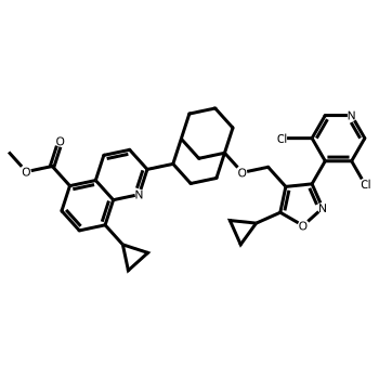 COC(=O)c1ccc(C2CC2)c2nc(C3CCC4(OCc5c(-c6c(Cl)cncc6Cl)noc5C5CC5)CCCC3C4)ccc12